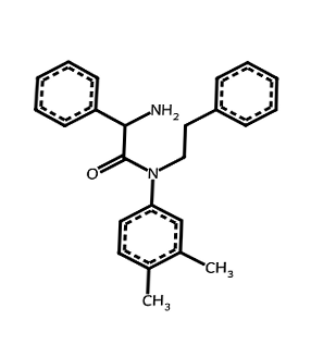 Cc1ccc(N(CCc2ccccc2)C(=O)C(N)c2ccccc2)cc1C